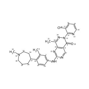 Cc1cc(Nc2ncc3c(=O)n(-c4ncccc4Cl)nc(C)c3n2)ccc1C1CCCN(C)CC1